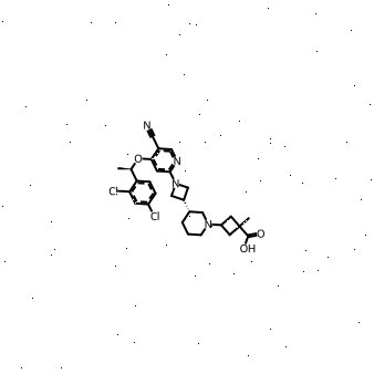 C[C@@H](Oc1cc(N2CC([C@H]3CCCN(C4CC(C)(C(=O)O)C4)C3)C2)ncc1C#N)c1ccc(Cl)cc1Cl